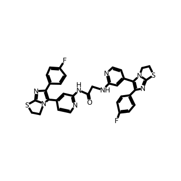 O=C(CNc1cc(-c2c(-c3ccc(F)cc3)nc3n2CCS3)ccn1)Nc1cc(-c2c(-c3ccc(F)cc3)nc3n2CCS3)ccn1